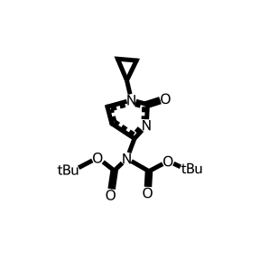 CC(C)(C)OC(=O)N(C(=O)OC(C)(C)C)c1ccn(C2CC2)c(=O)n1